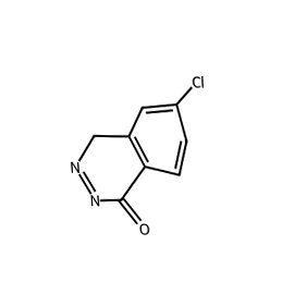 O=C1N=NCc2cc(Cl)ccc21